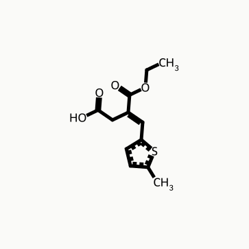 CCOC(=O)/C(=C/c1ccc(C)s1)CC(=O)O